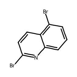 Brc1ccc2c(Br)cccc2n1